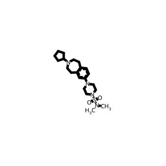 CN(C)S(=O)(=O)N1CCN(c2ccc3c(c2)CCN(C2CCCC2)CC3)CC1